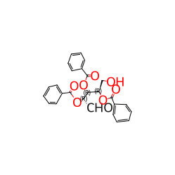 O=C[C@H](OC(=O)c1ccccc1)[C@H](OC(=O)c1ccccc1)[C@@H](CO)OC(=O)c1ccccc1